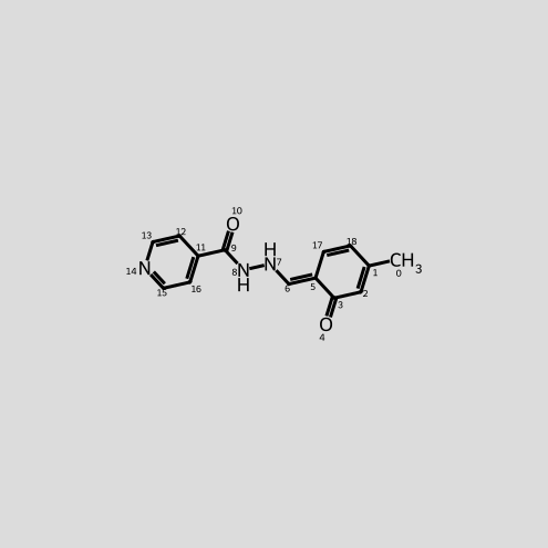 CC1=CC(=O)C(=CNNC(=O)c2ccncc2)C=C1